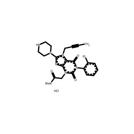 CC#CCn1c(N2CCNCC2)nc2c1c(=O)n(-c1ccccc1CC)c(=O)n2CC(=O)NC.Cl